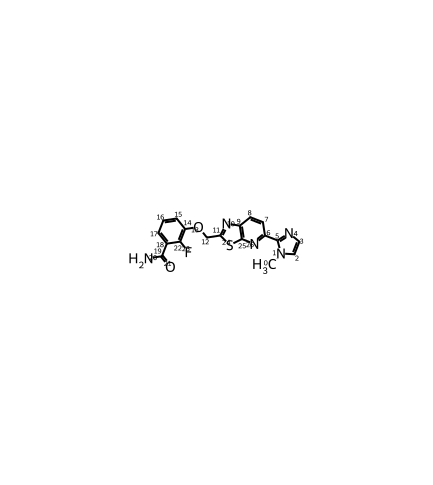 Cn1ccnc1-c1ccc2nc(COc3cccc(C(N)=O)c3F)sc2n1